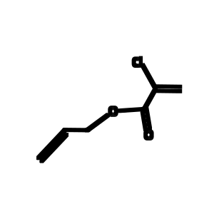 C=CCOC(=O)C(=C)Cl